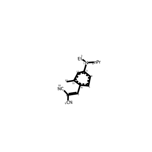 CCCN(CC)c1ccc(C=C(C#N)C#N)c(C)c1